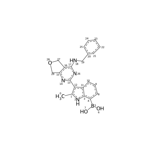 Cc1[nH]c2c(B(O)O)cccc2c1-c1nc2c(c(NCc3ccccc3)n1)COC2